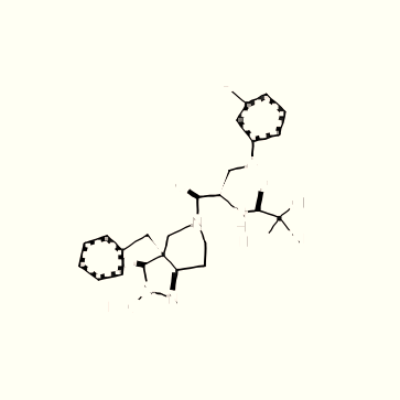 CN1N=C2CCN(C(=O)[C@@H](COc3cccc(F)c3)NC(=O)C(C)(C)N)C[C@@]2(Cc2ccccc2)C1=O